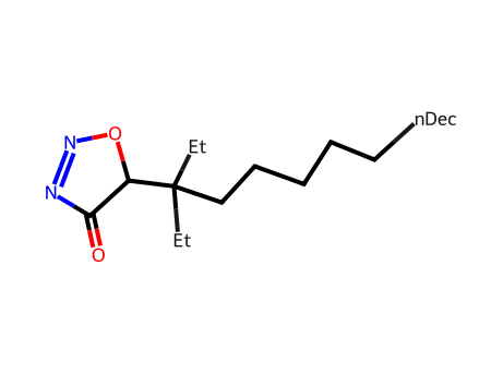 CCCCCCCCCCCCCCCC(CC)(CC)C1ON=NC1=O